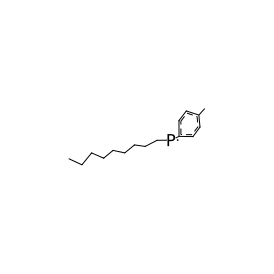 CCCCCCCCC[P]c1ccc(C)cc1